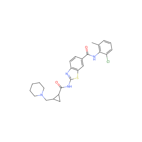 Cc1cccc(Cl)c1NC(=O)c1ccc2nc(NC(=O)C3CC3CN3CCCCC3)sc2c1